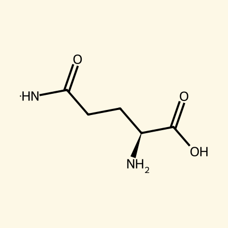 [NH]C(=O)CC[C@H](N)C(=O)O